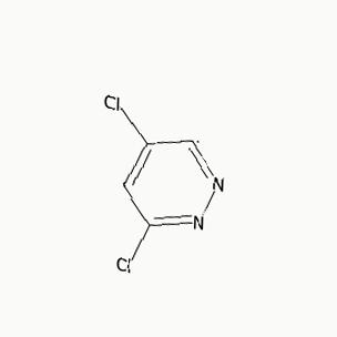 Clc1[c]nnc(Cl)c1